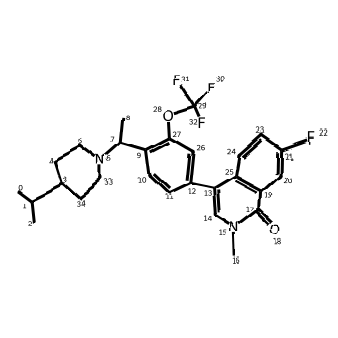 CC(C)C1CCN(C(C)c2ccc(-c3cn(C)c(=O)c4cc(F)ccc34)cc2OC(F)(F)F)CC1